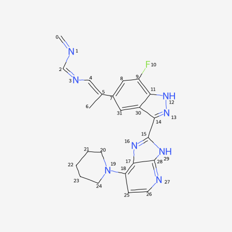 C=N/C=N\C=C(/C)c1cc(F)c2[nH]nc(-c3nc4c(N5CCCCC5)ccnc4[nH]3)c2c1